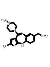 CNCC1=CCC2Nc3sc(C)cc3C(N3CCN(C)CC3)=NC2=C1